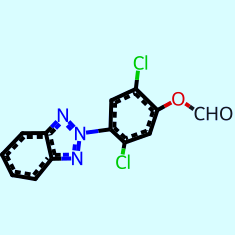 O=COc1cc(Cl)c(-n2nc3ccccc3n2)cc1Cl